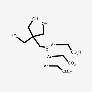 CC(=O)CC(=O)O.CC(=O)CC(=O)O.CC(=O)CC(=O)O.OCC(CO)(CO)CO